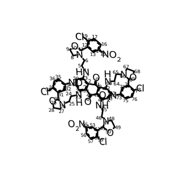 O=C1c2c(NCCN3CCOC3c3cc([N+](=O)[O-])ccc3Cl)ccc(NCCN3CCOC3c3cc([N+](=O)[O-])ccc3Cl)c2C(=O)c2c(NCCN3CCOC3c3cc([N+](=O)[O-])ccc3Cl)ccc(NCCN3CCOC3c3cc([N+](=O)[O-])ccc3Cl)c21